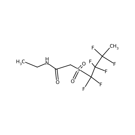 CCNC(=O)CS(=O)(=O)C(F)(F)C(F)(F)C(C)(F)F